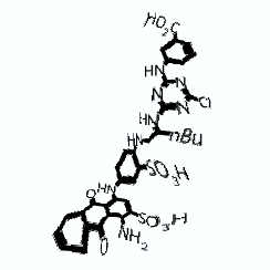 CCCCC(CNc1ccc(Nc2cc(S(=O)(=O)O)c(N)c3c2C(=O)c2ccccc2C3=O)cc1S(=O)(=O)O)Nc1nc(Cl)nc(Nc2cccc(C(=O)O)c2)n1